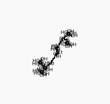 CC[C@H](NC(=O)CN(CC)CC(=O)NCCCCCC(=O)NCCO[C@H]1O[C@H](CO[C@H]2O[C@H](CO)[C@@H](O)[C@H](O)[C@@H]2O)[C@@H](O)[C@H](O[C@H]2O[C@H](CO)[C@@H](O)[C@H](O)[C@@H]2O)[C@@H]1O)C(=O)NCCCCCC(=O)N(CCO[C@H]1O[C@H](CO)[C@@H](O)[C@H](O)[C@@H]1O)CCO[C@H]1O[C@H](CO)[C@@H](O)[C@H](O)[C@@H]1O